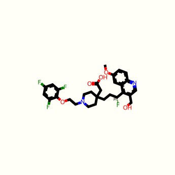 COc1ccc2ncc(CO)c([C@H](F)CCC3(CC(=O)O)CCN(CCOc4c(F)cc(F)cc4F)CC3)c2c1